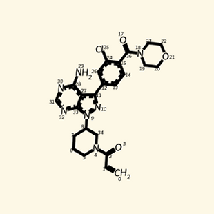 C=CC(=O)N1CCCC(n2nc(-c3ccc(C(=O)N4CCOCC4)c(Cl)c3)c3c(N)ncnc32)C1